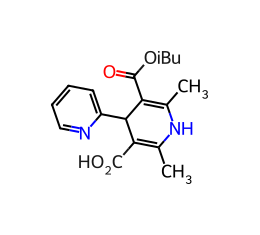 CC1=C(C(=O)O)C(c2ccccn2)C(C(=O)OCC(C)C)=C(C)N1